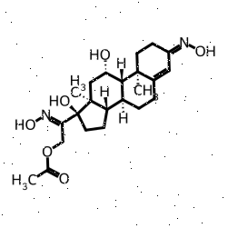 CC(=O)OC/C(=N\O)[C@@]1(O)CC[C@H]2[C@@H]3CCC4=CC(=NO)CC[C@]4(C)[C@H]3[C@@H](O)C[C@@]21C